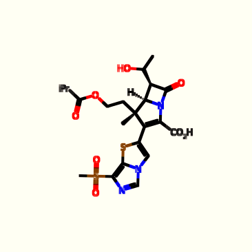 CC(C)C(=O)OCC[C@@]1(C)C(c2cn3cnc(S(C)(=O)=O)c3s2)=C(C(=O)O)N2C(=O)[C@H](C(C)O)[C@@H]21